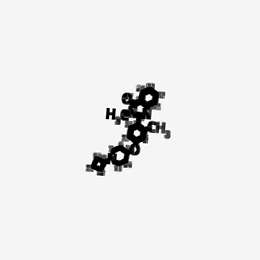 Cc1cc(OC2CCN(C3CCC3)CC2)ccc1-c1nc2ccccc2c(=O)n1C